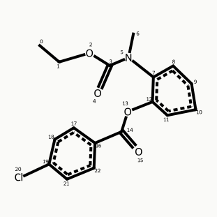 CCOC(=O)N(C)c1ccccc1OC(=O)c1ccc(Cl)cc1